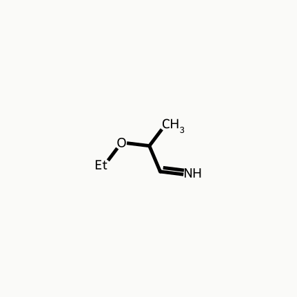 CCOC(C)C=N